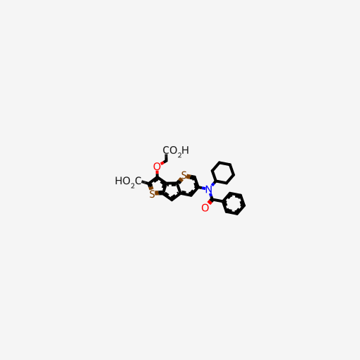 O=C(O)COc1c(C(=O)O)sc2cc3cc(N(C(=O)c4ccccc4)C4CCCCC4)csc-3c12